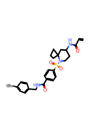 C=CC(=O)NC1CCN(S(=O)(=O)c2ccc(C(=O)NCc3ccc(C(C)(C)C)cc3)cc2)C2(CCC2)C1